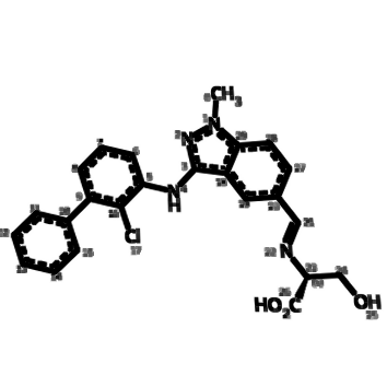 Cn1nc(Nc2cccc(-c3ccccc3)c2Cl)c2cc(C=N[C@@H](CO)C(=O)O)ccc21